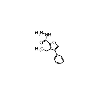 CCc1c(-c2ccccc2)coc1C(=O)NN